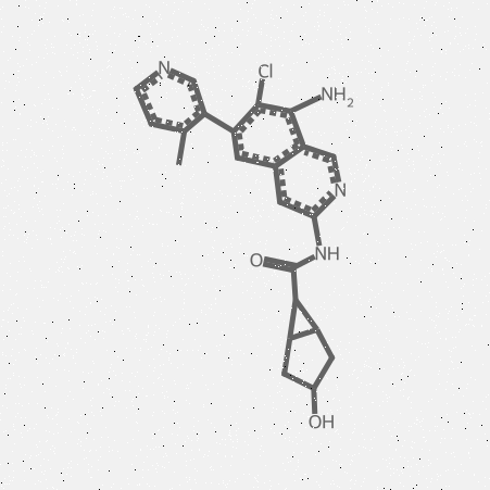 Cc1ccncc1-c1cc2cc(NC(=O)C3C4CC(O)CC43)ncc2c(N)c1Cl